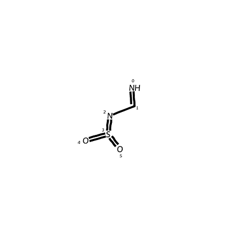 N=CN=S(=O)=O